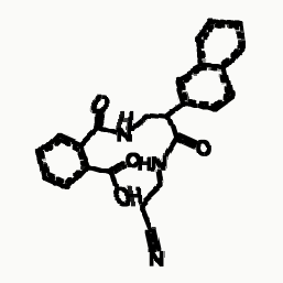 N#CCCNC(=O)C(CNC(=O)c1ccccc1C(=O)O)c1ccc2ccccc2c1